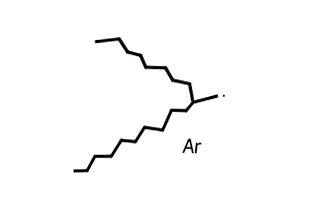 [Ar].[CH2]C(CCCCCCCC)CCCCCCCCCC